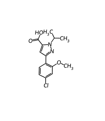 COc1cc(Cl)ccc1-c1cc(C(=O)O)n(C(C)C)n1